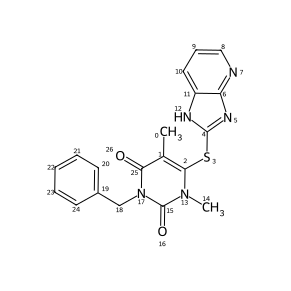 Cc1c(Sc2nc3ncccc3[nH]2)n(C)c(=O)n(Cc2ccccc2)c1=O